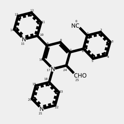 N#Cc1ccccc1C1=CC(c2ccccn2)=CN(c2ccncc2)C1C=O